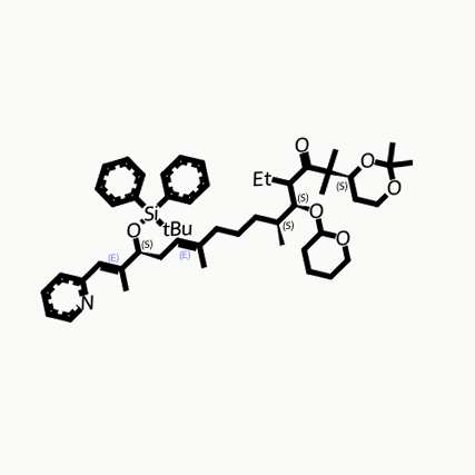 CCC(C(=O)C(C)(C)[C@@H]1CCOC(C)(C)O1)[C@@H](OC1CCCCO1)[C@@H](C)CCC/C(C)=C/C[C@H](O[Si](c1ccccc1)(c1ccccc1)C(C)(C)C)/C(C)=C/c1ccccn1